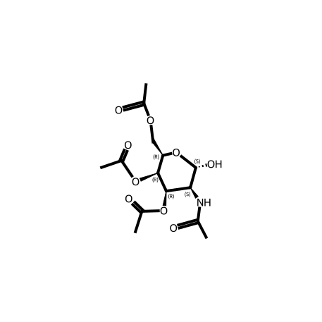 CC(=O)N[C@H]1[C@@H](OC(C)=O)[C@@H](OC(C)=O)[C@@H](COC(C)=O)O[C@@H]1O